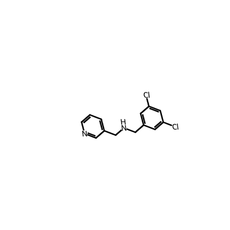 Clc1cc(Cl)cc(CNCc2cccnc2)c1